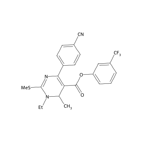 CCN1C(SC)=NC(c2ccc(C#N)cc2)=C(C(=O)Oc2cccc(C(F)(F)F)c2)C1C